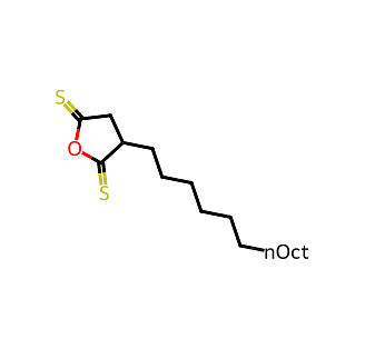 CCCCCCCCCCCCCCC1CC(=S)OC1=S